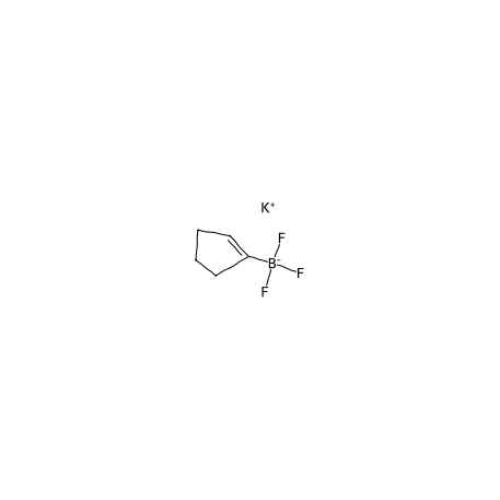 F[B-](F)(F)C1=CCCC1.[K+]